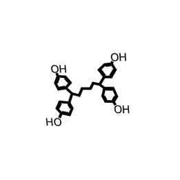 Oc1ccc(C(CCCCC(c2ccc(O)cc2)c2ccc(O)cc2)c2ccc(O)cc2)cc1